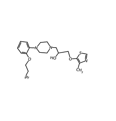 Cc1ncsc1OCC(O)CN1CCN(c2ccccc2OCCC(C)C)CC1